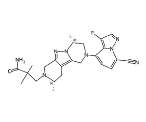 C[C@@H]1CN(c2ccc(C#N)n3ncc(F)c23)Cc2c3c(nn21)CN(CC(C)(C)C(N)=O)[C@@H](C)C3